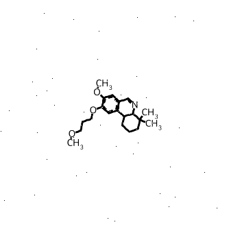 COCCCOc1cc2c(cc1OC)C=NC1C2CCCC1(C)C